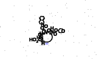 O=C(N[C@H]1CCCC/C=C\[C@@H]2C[C@@]2(C(=O)O)NC(=O)[C@@H]2C[C@@H](OC(=O)N3CCc4ccccc4C3)CN2C1=O)OC1CCOCC1